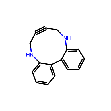 C1#CCNc2ccccc2-c2ccccc2NC1